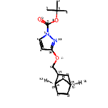 CC(C)(C)OC(=O)n1ccc(OCC2C[C@H]3CC[C@@H]2C3)n1